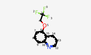 FC(F)(F)COc1cccc2ncccc12